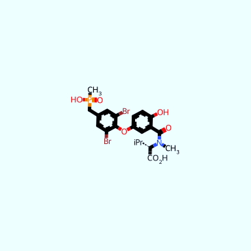 CC(C)[C@@H](C(=O)O)N(C)C(=O)c1cc(Oc2c(Br)cc(CP(C)(=O)O)cc2Br)ccc1O